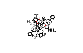 Cn1c2c(c(=O)n(CC(=O)c3ccccc3)c1=O)N(Cc1cc(C(F)(F)F)ccc1F)C(N1CCCC(N)C1)N2N1c2c(c(=O)n(CC(=O)c3ccccc3)c(=O)n2C)N(Cc2c(F)cccc2C(F)(F)F)C1N1CCCC(N)C1